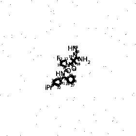 CC(C)c1ccc([C@@H](NC(=O)[C@@H]2C[C@@H](F)CN2C(=O)C(C)(C)/C(N)=N/C=N)c2ccccc2)cc1